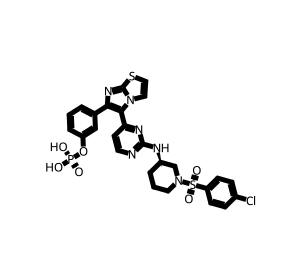 O=P(O)(O)Oc1cccc(-c2nc3sccn3c2-c2ccnc(N[C@@H]3CCCN(S(=O)(=O)c4ccc(Cl)cc4)C3)n2)c1